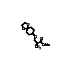 C=C(COC1CCC2(CC1)OCCO2)C(=O)OC